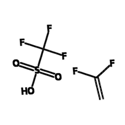 C=C(F)F.O=S(=O)(O)C(F)(F)F